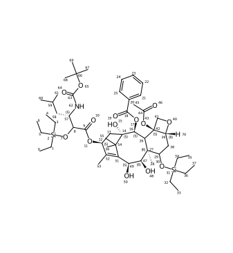 CC[Si](CC)(CC)OC(C(=O)O[C@H]1C[C@@]2(O)[C@@H](OC(=O)c3ccccc3)C3[C@@](C)(C(O[Si](CC)(CC)CC)C[C@H]4OC[C@@]34OC(C)=O)[C@@H](O)[C@@H](O)C(=C1C)C2(C)C)[C@H](CC(C)C)NC(=O)OC(C)(C)C